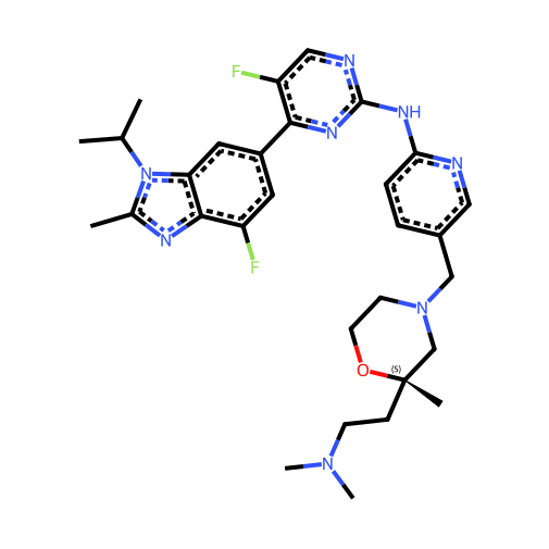 Cc1nc2c(F)cc(-c3nc(Nc4ccc(CN5CCO[C@@](C)(CCN(C)C)C5)cn4)ncc3F)cc2n1C(C)C